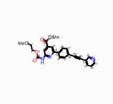 COCCOC(=O)Nc1cc(C(=O)OC)cc(-c2ccc(C#Cc3cccnc3)cc2)n1